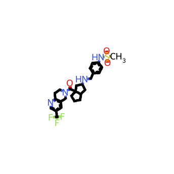 CS(=O)(=O)Nc1ccc(CNC2CC3CCCC3(C(=O)N3CCc4ncc(C(F)(F)F)cc4C3)C2)cc1